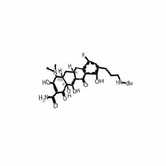 CN(C)[C@@H]1C(O)=C(C(N)=O)C(=O)[C@@]2(O)C(O)=C3C(=O)c4c(O)c(CCCNC(C)(C)C)cc(F)c4C[C@H]3C[C@@H]12